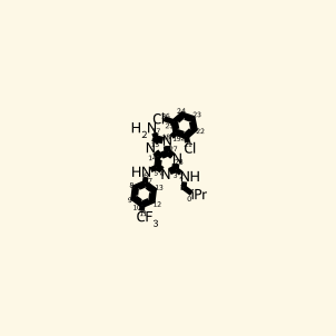 CC(C)CNc1nc(Nc2ccc(C(F)(F)F)cc2)c2nc(N)n(-c3c(Cl)cccc3Cl)c2n1